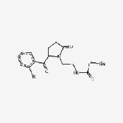 CCc1ccccc1C(=O)C1CCC(=O)N1CCNC(=O)OC(C)(C)C